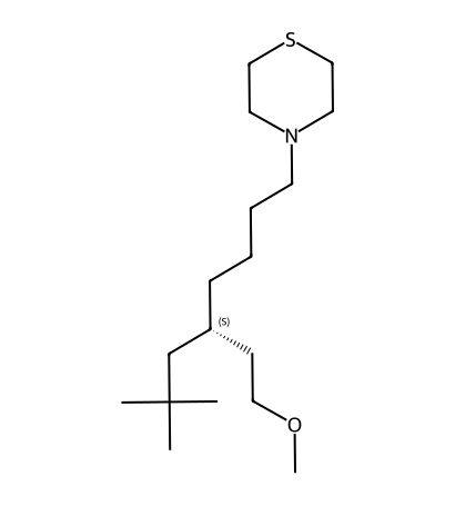 COCC[C@@H](CCCCN1CCSCC1)CC(C)(C)C